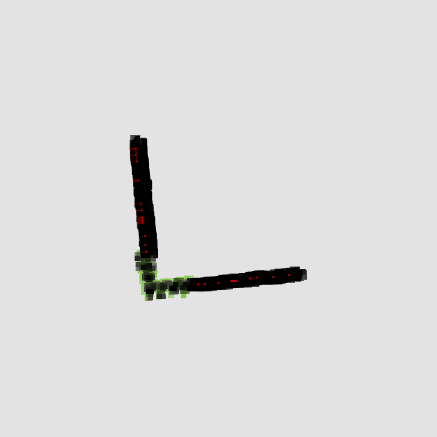 FC(F)F.FC(F)F.FC(F)F.FC(F)F.FC(F)F.FC(F)F.FC(F)F.[Zn].[Zn].[Zn].[Zn].[Zn].[Zn].[Zn].[Zn].[Zn].[Zn].[Zn].[Zn].[Zn].[Zn].[Zn].[Zn].[Zn].[Zn].[Zn].[Zn].[Zn].[Zn].[Zn].[Zn].[Zn].[Zn].[Zn].[Zn].[Zn].[Zn].[Zn].[Zn].[Zn].[Zn].[Zn].[Zn].[Zn].[Zn].[Zn].[Zn].[Zn].[Zn].[Zn].[Zn].[Zn].[Zn].[Zn].[Zn].[Zn].[Zn].[Zn].[Zn].[Zn].[Zn].[Zn].[Zn].[Zn].[Zn].[Zn].[Zn].[Zn].[Zn].[Zn].[Zn].[Zn].[Zn].[Zn].[Zn]